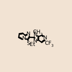 CCSc1c(-c2nc3cc(C(F)(F)F)ncc3n2C)nc2ccccn12